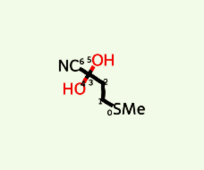 CSCCC(O)(O)C#N